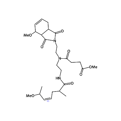 COC(=O)CCC(=O)N(CCNC(=O)C(C)C/C=C\C(C)OC)CCN1C(=O)C2CC=CC(OC)C2C1=O